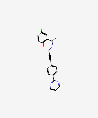 CC(NCC#Cc1ccc(-c2ncccn2)cc1)c1cc(Cl)ccc1O